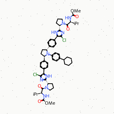 COC(=O)N[C@H](C(=O)N1CCC[C@H]1c1nc(Cl)c(-c2ccc([C@H]3CC[C@H](c4ccc(-c5[nH]c([C@@H]6CCCN6C(=O)[C@@H](NC(=O)OC)C(C)C)nc5Cl)cc4)N3c3ccc(C4CCCCC4)cc3)cc2)[nH]1)C(C)C